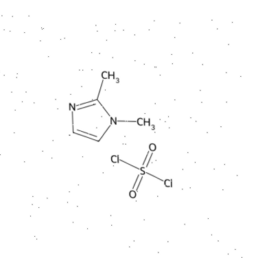 Cc1nccn1C.O=S(=O)(Cl)Cl